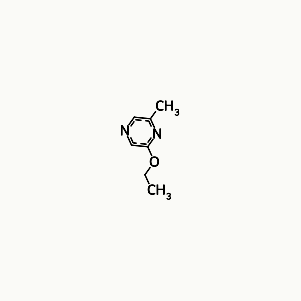 CCOc1cncc(C)n1